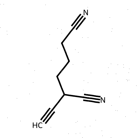 C#CC(C#N)CCCC#N